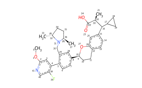 COc1cc(-c2ccc([C@@H]3CCc4ccc(C(C5CC5)[C@H](C)C(=O)O)cc4O3)cc2CN2[C@H](C)CC[C@H]2C)c(F)cn1